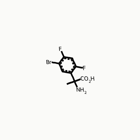 CC(N)(C(=O)O)c1cc(Br)c(F)cc1F